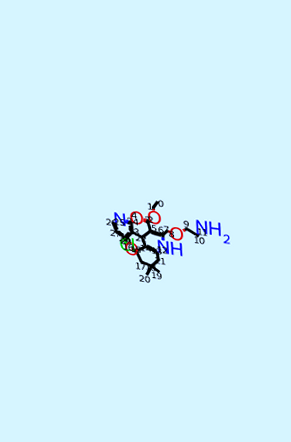 CCOC(=O)C1=C(COCCN)NC2=C(C(=O)CC(C)(C)C2)C1c1cnccc1Cl